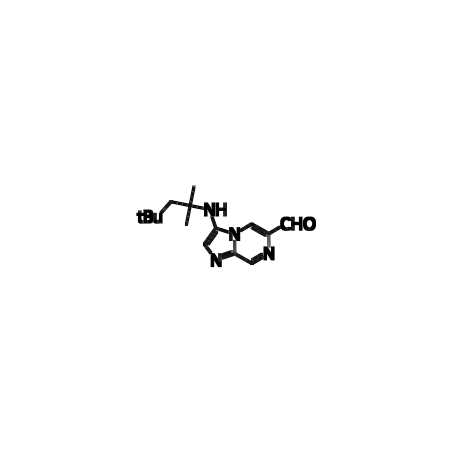 CC(C)(C)CC(C)(C)Nc1cnc2cnc(C=O)cn12